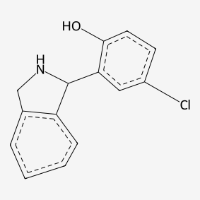 Oc1ccc(Cl)cc1C1NCc2ccccc21